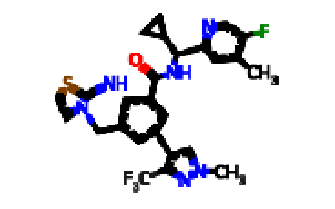 Cc1cc(C(NC(=O)c2cc(Cn3ccsc3=N)cc(-c3cn(C)nc3C(F)(F)F)c2)C2CC2)ncc1F